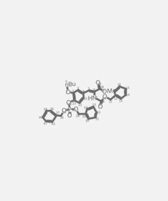 CCCCOc1cc(C=C(NC(=O)OCc2ccccc2)C(=O)OC)ccc1OP(=O)(OCc1ccccc1)OCc1ccccc1